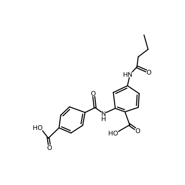 CCCC(=O)Nc1ccc(C(=O)O)c(NC(=O)c2ccc(C(=O)O)cc2)c1